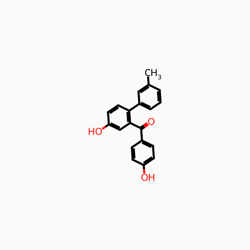 Cc1cccc(-c2ccc(O)cc2C(=O)c2ccc(O)cc2)c1